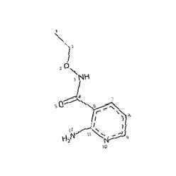 CCONC(=O)c1cccnc1N